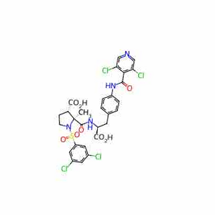 C[C@@]1(C(=O)N[C@@H](Cc2ccc(NC(=O)c3c(Cl)cncc3Cl)cc2)C(=O)O)[C@@H](C(=O)O)CCN1S(=O)(=O)c1cc(Cl)cc(Cl)c1